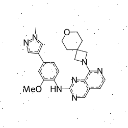 COc1cc(-c2cnn(C)c2)ccc1Nc1ncc2ccnc(N3CC4(CCOCC4)C3)c2n1